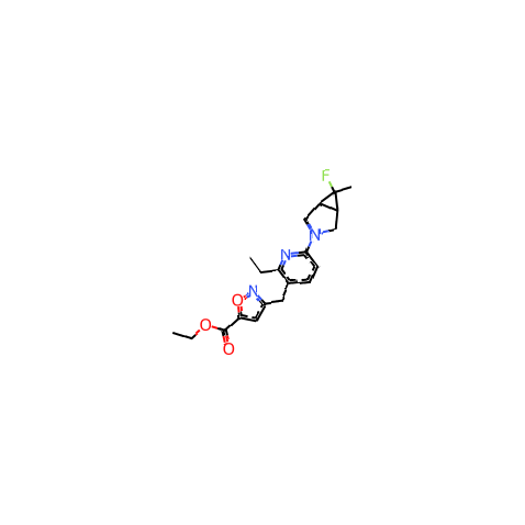 CCOC(=O)c1cc(Cc2ccc(N3CC4C(C3)C4(C)F)nc2CC)no1